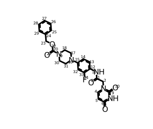 O=C(Cn1ccc(=O)[nH]c1=O)Nc1ccc(N2CCN(C(=O)OCc3ccccc3)CC2)cc1F